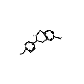 Clc1ccc(C2Cc3cc(Cl)ccc3CN2)cc1